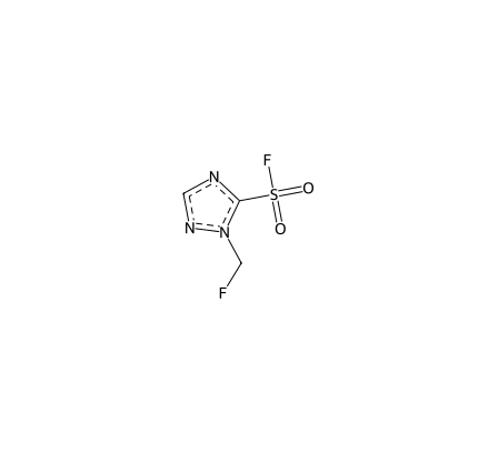 O=S(=O)(F)c1ncnn1CF